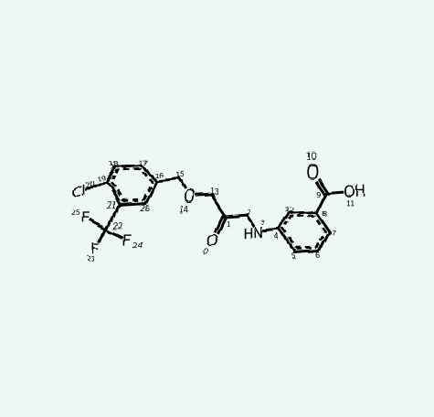 O=C(CNc1cccc(C(=O)O)c1)COCc1ccc(Cl)c(C(F)(F)F)c1